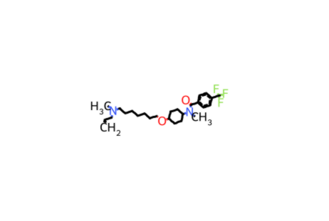 C=CCN(C)CCCCCCCOC1CCC(N(C)C(=O)c2ccc(C(F)(F)F)cc2)CC1